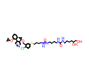 O=C(NCCCCNC(=O)NCCCCC(O)CO)NCCCCSc1ccc(Cl)c(COC2(c3cnccc3-c3ccccc3OC3CC3)CC2)c1